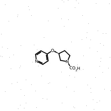 O=C(O)N1CC[C@H](Oc2ccncc2)C1